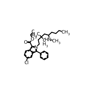 CCCCC(CC(C)(C)CCn1c(C(=O)OCC)c2ccc(Cl)cc2c1-c1ccccc1)NC